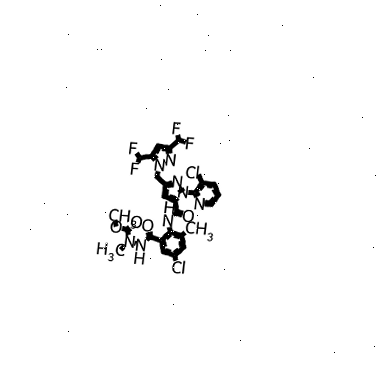 COC(=O)N(C)NC(=O)c1cc(Cl)cc(C)c1NC(=O)c1cc(Cn2nc(C(F)F)cc2C(F)F)nn1-c1ncccc1Cl